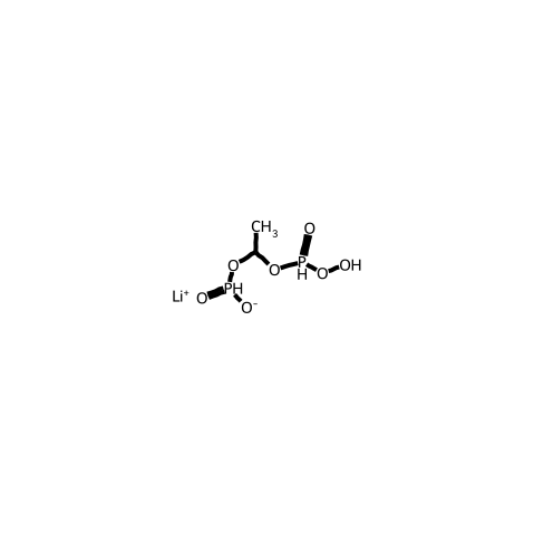 CC(O[PH](=O)[O-])O[PH](=O)OO.[Li+]